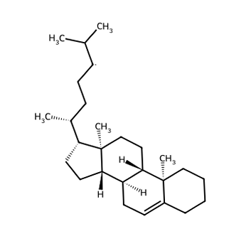 CC(C)[CH]CC[C@@H](C)[C@H]1CC[C@H]2[C@@H]3CC=C4CCCC[C@]4(C)[C@H]3CC[C@]12C